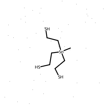 [CH3][Sn]([CH2]CS)([CH2]CS)[CH2]CS